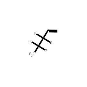 C=CC(F)(F)C(F)(F)C(F)(F)F